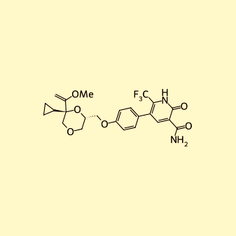 C=C(OC)[C@@]1(C2CC2)COC[C@@H](COc2ccc(-c3cc(C(N)=O)c(=O)[nH]c3C(F)(F)F)cc2)O1